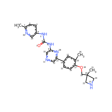 Cc1ccc(NC(=O)Nc2cncc(-c3ccc(OCC4(C)CNC4)c(C)c3)n2)cn1